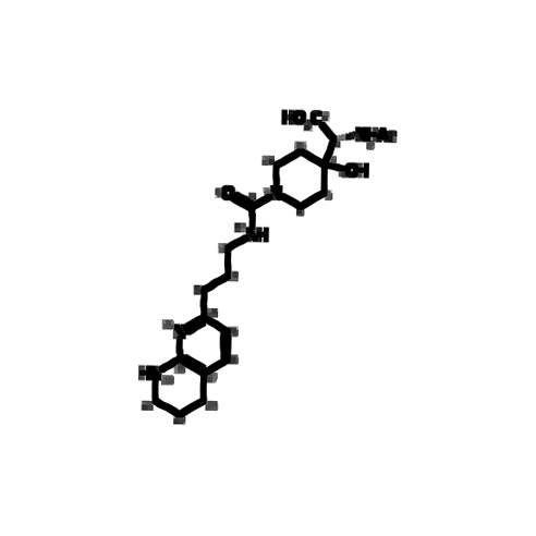 CC(=O)N[C@@H](C(=O)O)C1(O)CCN(C(=O)NCCCc2ccc3c(n2)NCCC3)CC1